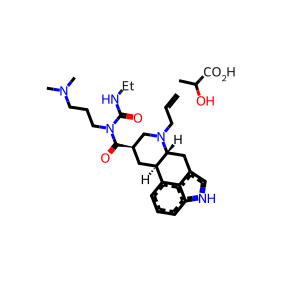 C=CCN1C[C@H](C(=O)N(CCCN(C)C)C(=O)NCC)C[C@@H]2c3cccc4[nH]cc(c34)C[C@H]21.CC(O)C(=O)O